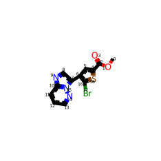 COC(=O)c1cc(-c2cnc3cccnn23)c(Br)s1